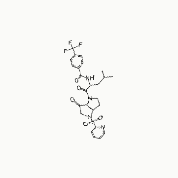 CC(C)CC(NC(=O)c1ccc(C(F)(F)F)cc1)C(=O)N1CCC2C1C(=O)CN2S(=O)(=O)c1ccccn1